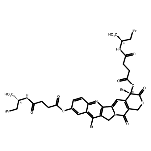 CCc1c2c(nc3ccc(OC(=O)CCC(=O)N[C@H](CC(C)C)C(=O)O)cc13)-c1cc3c(c(=O)n1C2)COC(=O)[C@@]3(CC)OC(=O)CCC(=O)N[C@H](CC(C)C)C(=O)O